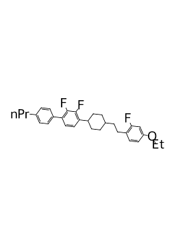 CCCc1ccc(-c2ccc(C3CCC(CCc4ccc(OCC)cc4F)CC3)c(F)c2F)cc1